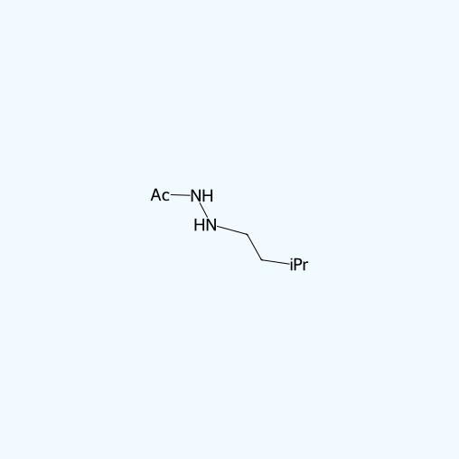 CC(=O)NNCCC(C)C